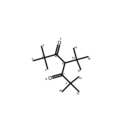 CC(C)(C)C(=O)C(C(=O)C(C)(C)C)C(C)(C)C